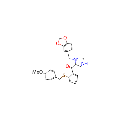 COc1ccc(CSc2ccccc2C(=O)C2CNCCN2Cc2ccc3c(c2)OCO3)cc1